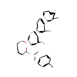 C[SiH](C)C1CCCCO1.Cc1cc[c]cc1.Cc1cc[c]cc1.Cc1cc[c]cc1.Cc1cc[c]cc1